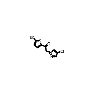 O=C(Cn1cc(Cl)cn1)c1ccc(Br)s1